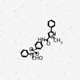 Cn1nc(-c2ccccc2)cc1C(=O)Nc1ccc(S(=O)(=O)N(C=O)c2ccccc2)cc1